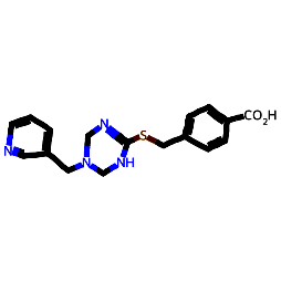 O=C(O)c1ccc(CSC2=NCN(Cc3cccnc3)CN2)cc1